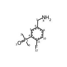 CP(C)(=O)c1cc(CN)ccc1F